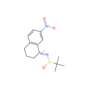 CC(C)(C)[S+]([O-])/N=C1\CCCc2ccc([N+](=O)[O-])cc21